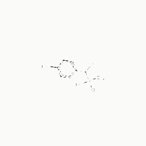 Cc1ccc(C(Cl)[N+](C)(C)C)cc1.[Cl-]